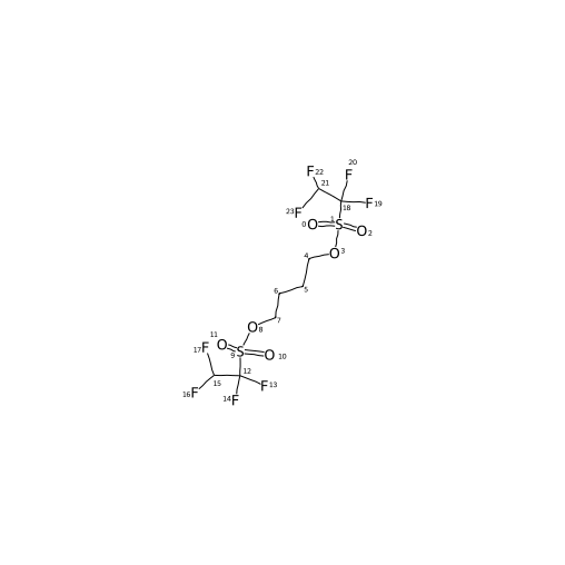 O=S(=O)(OCCCCOS(=O)(=O)C(F)(F)C(F)F)C(F)(F)C(F)F